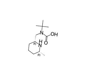 C[C@@H]1CCC[C@H](CN(C(=O)O)C(C)(C)C)N1